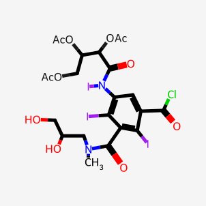 CC(=O)OCC(OC(C)=O)C(OC(C)=O)C(=O)N(I)c1cc(C(=O)Cl)c(I)c(C(=O)N(C)CC(O)CO)c1I